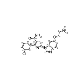 CN(C)CCOc1ccc2ncn(-c3nc(-c4cccc(Cl)c4)c(C(N)=O)s3)c2c1